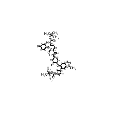 Cn1ncc2cc(Oc3ccc(NC(=O)c4ccc(NC(=O)OC(C)(C)C)n(-c5ccc(F)cc5)c4=O)cc3F)c(-c3cnn(C(=O)OC(C)(C)C)c3)cc21